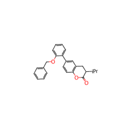 CC(C)C1Cc2cc(-c3ccccc3OCc3ccccc3)ccc2OC1=O